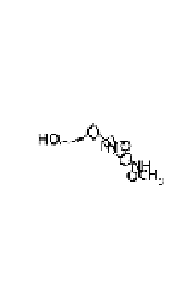 CC(=O)Nc1ccc2c(c1)OCc1cc(-c3cccc(C#CCCCO)c3)nn1C2